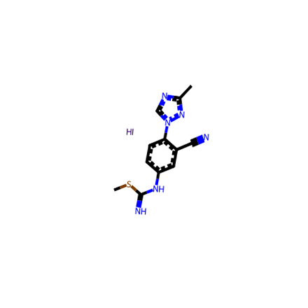 CSC(=N)Nc1ccc(-n2cnc(C)n2)c(C#N)c1.I